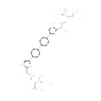 CC(C)[C@@H](NC[C@@H](C(C)C=O)N(C)C(=O)O)c1nc(-c2ccc(-c3ccc(-c4c[nH]c([C@H](NC[C@@H](C(C)C=O)N(C)C(=O)O)C(C)C)n4)cc3)cc2)c[nH]1